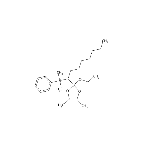 CCCCCCCC([Si](OCC)(OCC)OCC)[Si](C)(C)c1ccccc1